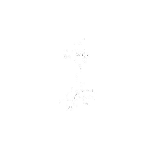 CC(C)(C)OC(=O)CC(CCB1O[C@@H]2C[C@@H]3C[C@@H](C3(C)C)[C@]2(C)O1)O[Si](C)(C)C(C)(C)C